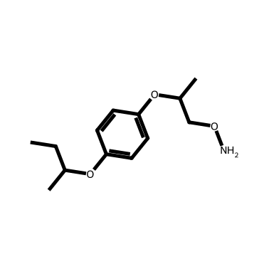 CCC(C)Oc1ccc(OC(C)CON)cc1